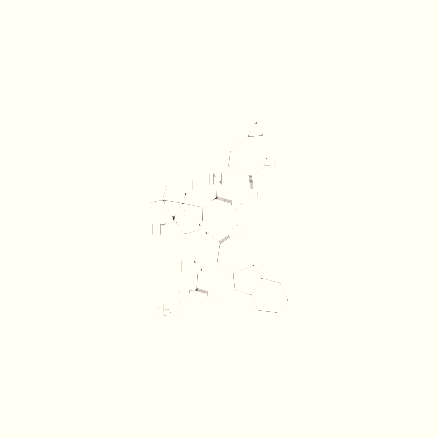 CC(=O)C(=O)C(CC1CC1)NC(=O)[C@@H]1[C@@H]2[C@H](CN1C(=O)[C@@H](NC(=O)OC(C)(C)C)C1CC3CCCCC3C1)C2(C)C